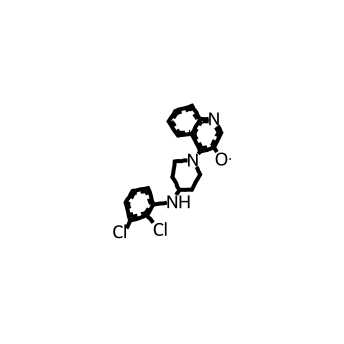 [O]c1cnc2ccccc2c1N1CCC(Nc2cccc(Cl)c2Cl)CC1